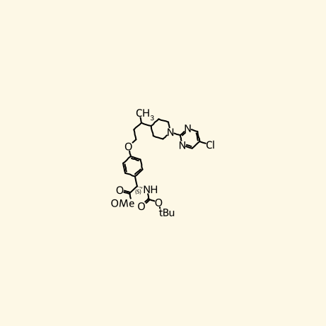 COC(=O)[C@@H](NC(=O)OC(C)(C)C)c1ccc(OCCC(C)C2CCN(c3ncc(Cl)cn3)CC2)cc1